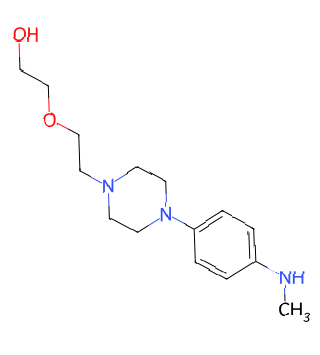 CNc1ccc(N2CCN(CCOCCO)CC2)cc1